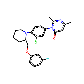 Cc1cc(=O)n(-c2ccc(N3CCCCC3COc3cccc(F)c3)c(Cl)c2)c(C)n1